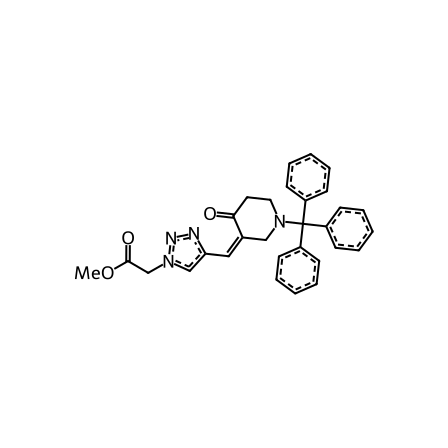 COC(=O)Cn1cc(C=C2CN(C(c3ccccc3)(c3ccccc3)c3ccccc3)CCC2=O)nn1